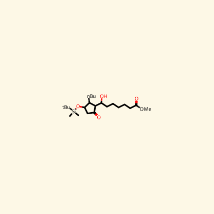 CCCCC1C(O[Si](C)(C)C(C)(C)C)CC(=O)C1C(O)CCCCCC(=O)OC